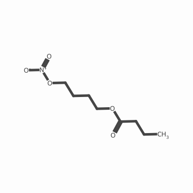 CCCC(=O)OCCCCO[N+](=O)[O-]